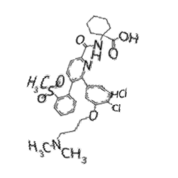 CN(C)CCCOc1cc(-c2nc(C(=O)NC3(C(=O)O)CCCCC3)ccc2-c2ccccc2S(C)(=O)=O)ccc1Cl.Cl